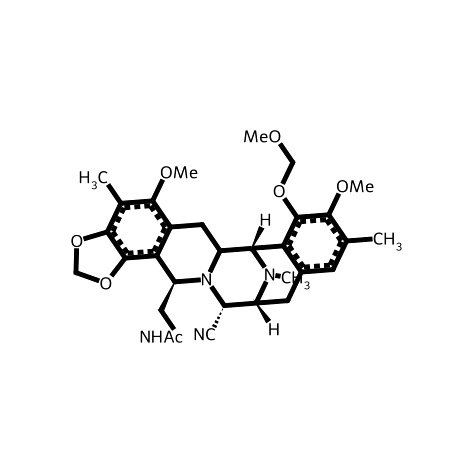 COCOc1c(OC)c(C)cc2c1[C@H]1C3Cc4c(OC)c(C)c5c(c4[C@H](CNC(C)=O)N3[C@@H](C#N)[C@@H](C2)N1C)OCO5